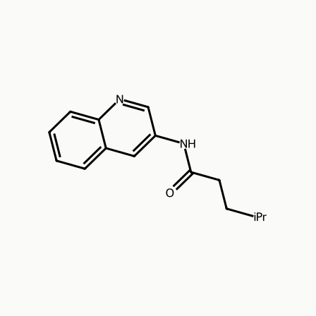 CC(C)CCC(=O)Nc1cnc2ccccc2c1